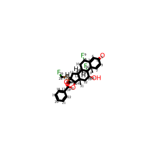 C[C@]12C=CC(=O)C=C1[C@@H](F)C[C@H]1[C@@H]3C[C@H]4OC(c5ccccc5)O[C@@]4(C(=O)SCF)[C@@]3(C)C[C@H](O)[C@@]12F